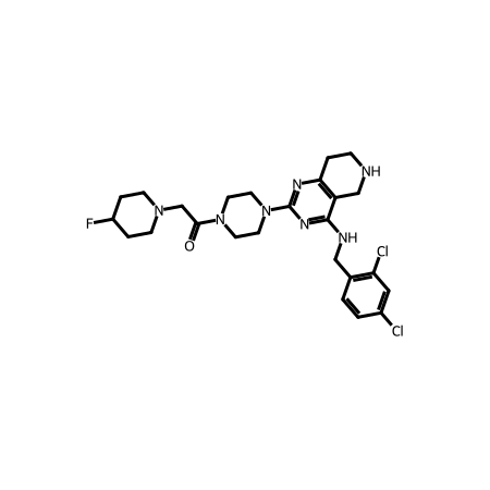 O=C(CN1CCC(F)CC1)N1CCN(c2nc3c(c(NCc4ccc(Cl)cc4Cl)n2)CNCC3)CC1